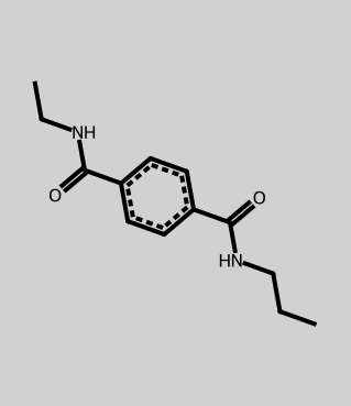 CCCNC(=O)c1ccc(C(=O)NCC)cc1